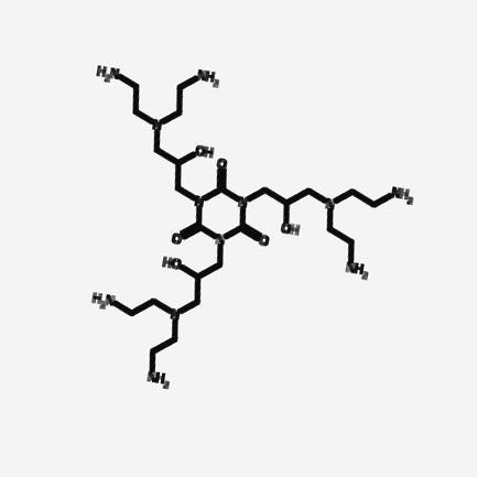 NCCN(CCN)CC(O)Cn1c(=O)n(CC(O)CN(CCN)CCN)c(=O)n(CC(O)CN(CCN)CCN)c1=O